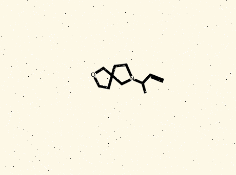 C=CC(C)N1CCC2(CCOC2)C1